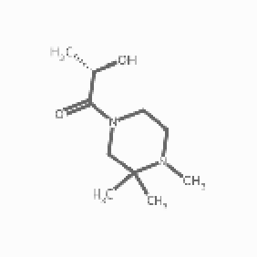 C[C@H](O)C(=O)N1CCN(C)C(C)(C)C1